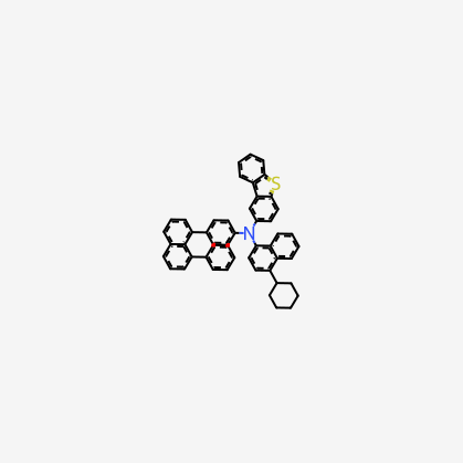 c1ccc(-c2cccc3cccc(-c4ccc(N(c5ccc6sc7ccccc7c6c5)c5ccc(C6CCCCC6)c6ccccc56)cc4)c23)cc1